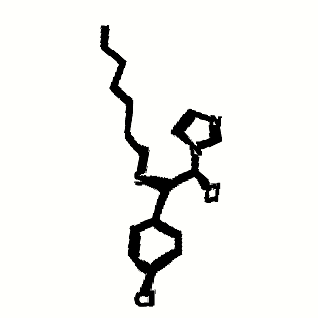 CCCCCCCSC(c1ccc(Cl)cc1)C(Cl)n1ccnc1